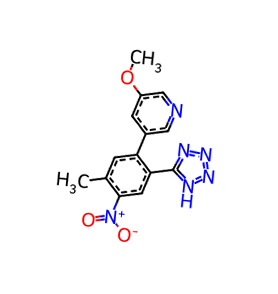 COc1cncc(-c2cc(C)c([N+](=O)[O-])cc2-c2nnn[nH]2)c1